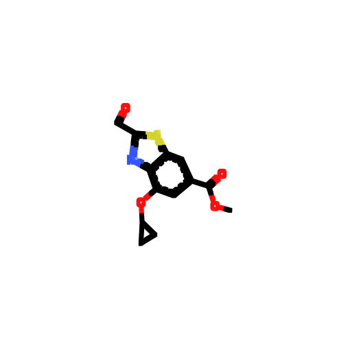 COC(=O)c1cc(OC2CC2)c2nc(C=O)sc2c1